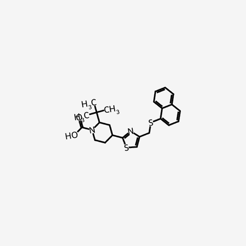 CC(C)(C)C1CC(c2nc(CSc3cccc4ccccc34)cs2)CCN1C(=O)O